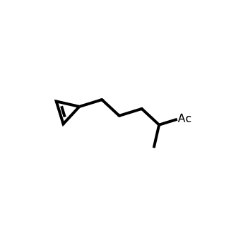 CC(=O)C(C)CCCC1C=C1